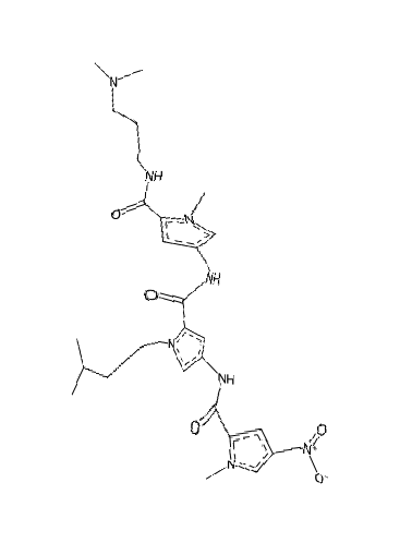 CC(C)CCn1cc(NC(=O)c2cc([N+](=O)[O-])cn2C)cc1C(=O)Nc1cc(C(=O)NCCCN(C)C)n(C)c1